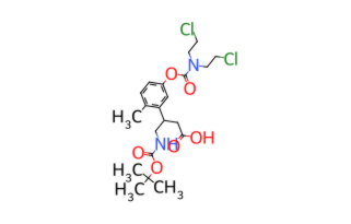 Cc1ccc(OC(=O)N(CCCl)CCCl)cc1C(CNC(=O)OC(C)(C)C)CC(=O)O